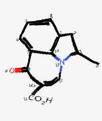 CC1Cc2cccc3c(=O)c(C(=O)O)cn1c23